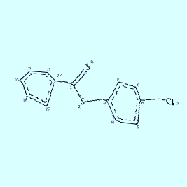 S=C(Sc1ccc(Cl)cc1)c1ccccc1